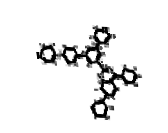 c1ccc(-c2ccc3c(-c4ccccc4)nc(-c4cc(-c5ccncc5)cc(-c5ccc(-c6ccncc6)cc5)c4)nc3c2)cc1